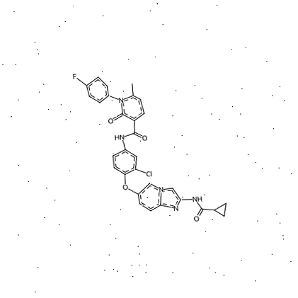 Cc1ccc(C(=O)Nc2ccc(Oc3ccc4nc(NC(=O)C5CC5)cn4c3)c(Cl)c2)c(=O)n1-c1ccc(F)cc1